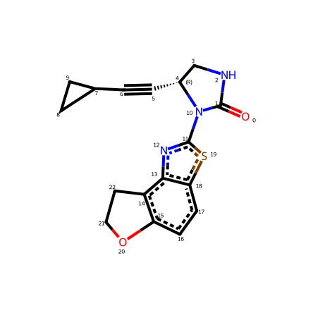 O=C1NC[C@@H](C#CC2CC2)N1c1nc2c3c(ccc2s1)OCC3